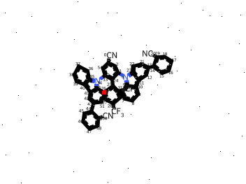 N#Cc1cc(-n2c3ccccc3c3cc(-c4ccccc4C#N)ccc32)c(-c2ccc(C(F)(F)F)cc2C(F)(F)F)c(-n2c3ccccc3c3cc(-c4ccccc4C#N)ccc32)c1